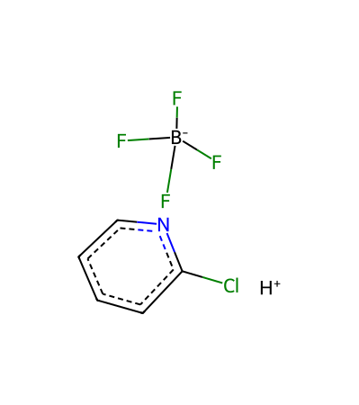 Clc1ccccn1.F[B-](F)(F)F.[H+]